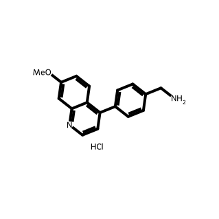 COc1ccc2c(-c3ccc(CN)cc3)ccnc2c1.Cl